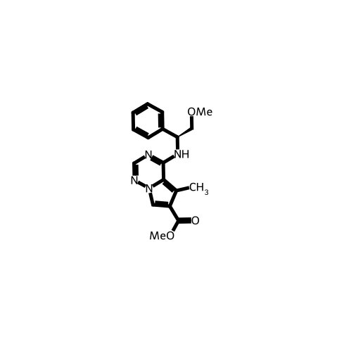 COC[C@@H](Nc1ncnn2cc(C(=O)OC)c(C)c12)c1ccccc1